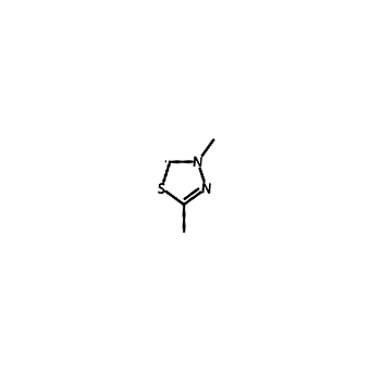 CC1=NN(C)[CH]S1